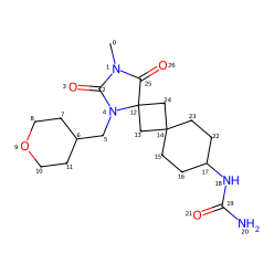 CN1C(=O)N(CC2CCOCC2)C2(CC3(CCC(NC(N)=O)CC3)C2)C1=O